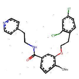 COc1ccc(C(=O)NCCc2ccncc2)cc1OCCc1ccc(Cl)cc1Cl